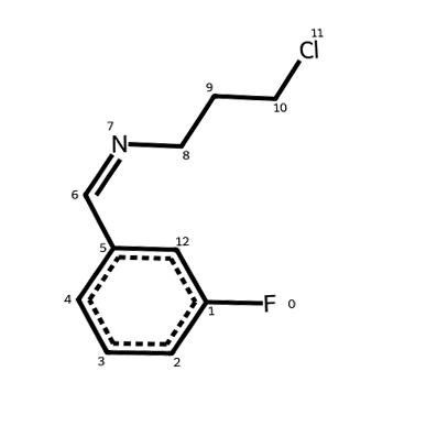 Fc1cccc(/C=N\CCCCl)c1